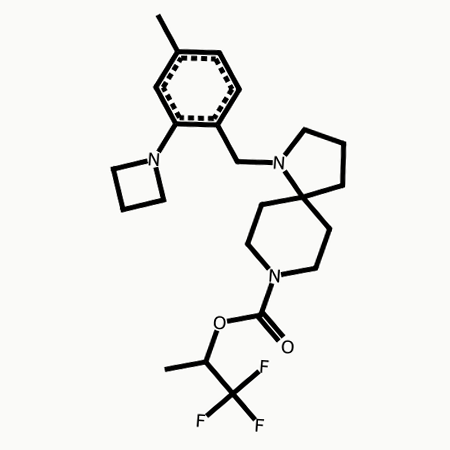 Cc1ccc(CN2CCCC23CCN(C(=O)OC(C)C(F)(F)F)CC3)c(N2CCC2)c1